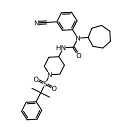 CC(C)(c1ccccc1)S(=O)(=O)N1CCC(NC(=O)N(c2cccc(C#N)c2)C2CCCCCC2)CC1